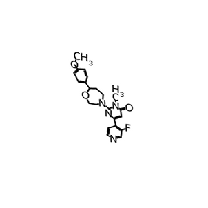 COc1ccc(C2CCN(c3nc(-c4ccncc4F)cc(=O)n3C)CCO2)cc1